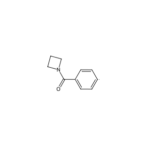 O=C(c1cc[c]cc1)N1CCC1